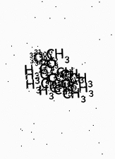 Cc1ccc(-c2c(C)c(C)c(C)c(-c3c(C)c(C)c(C)c(C)c3C)c2C)c(C)c1-c1ccccc1